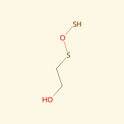 OCCSOS